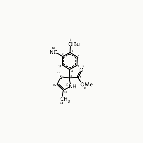 COC(=O)C1(c2ccc(OCC(C)C)c(C#N)c2)NC(C)=CS1